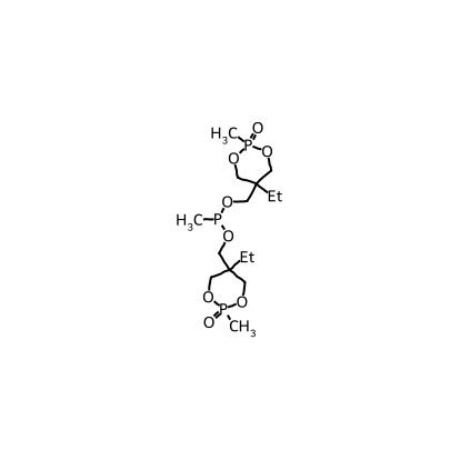 CCC1(COP(C)OCC2(CC)COP(C)(=O)OC2)COP(C)(=O)OC1